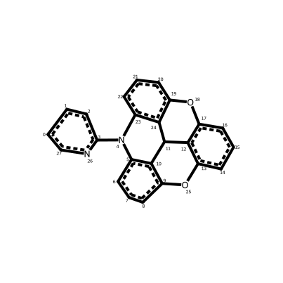 c1ccc(N2c3cccc4c3C3c5c(cccc5Oc5cccc2c53)O4)nc1